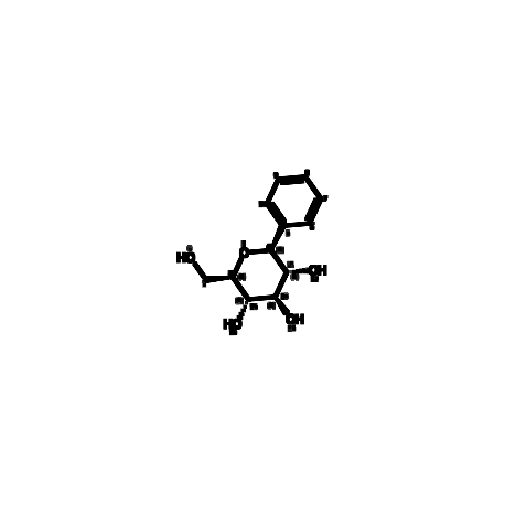 OC[C@H]1O[C@@H](c2[c]cccc2)[C@H](O)[C@@H](O)[C@@H]1O